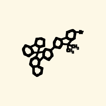 CC1(C)c2cc(Br)ccc2-c2ccc(-c3ccc4c(c3)C3(c5ccccc5-c5ccccc53)c3ccc5ccccc5c3-4)cc21